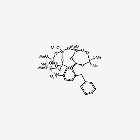 CO[Si]1(OC)OO[Si]2(OC)OC(c3cc([N+](=O)[O-])ccc3Cc3ccncc3)(O1)O[Si]1(O[Si](OC)(OC)OC)O[Si](OC)(OC)O[Si](OC)(O2)O1